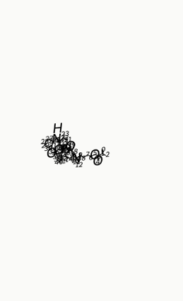 C=C(C)C(=O)OCCCCN(CC)c1ccc2c(c1)OC1C=C(C)C(Nc3ccccc3)=C[C@H]1C21OC(=O)c2ccccc21